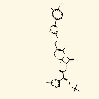 CC(C)(ON=C(C(=O)N[C@@H]1C(=O)N2C(C(=O)O)=C(CSc3nnc(-c4ccc(O)c(O)c4)o3)CS[C@@H]12)c1csc(N)n1)C(=O)O